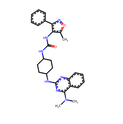 Cc1onc(-c2ccccc2)c1NC(=O)NC1CCC(Nc2nc(N(C)C)c3ccccc3n2)CC1